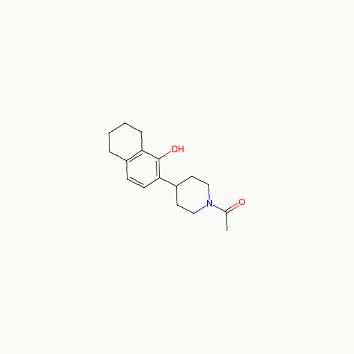 CC(=O)N1CCC(c2ccc3c(c2O)CCCC3)CC1